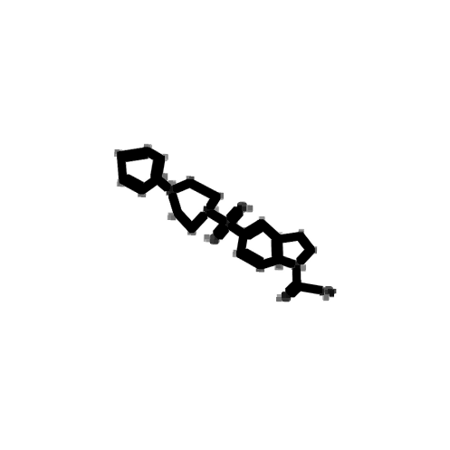 CCCC(=O)N1CCc2cc(S(=O)(=O)N3CCN(c4ccccc4)CC3)ccc21